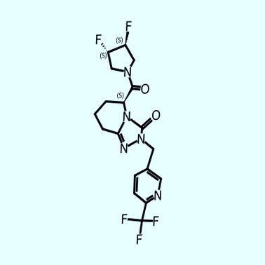 O=C([C@@H]1CCCc2nn(Cc3ccc(C(F)(F)F)nc3)c(=O)n21)N1C[C@H](F)[C@@H](F)C1